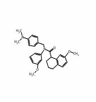 COc1cccc(N(Cc2ccc(N(C)C)cc2)C(=O)C2CCCc3ccc(OC)cc32)c1